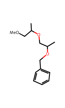 COCC(C)OCC(C)OCc1ccccc1